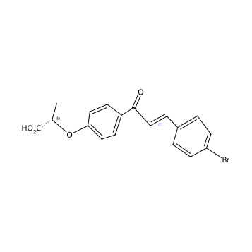 C[C@H](Oc1ccc(C(=O)/C=C/c2ccc(Br)cc2)cc1)C(=O)O